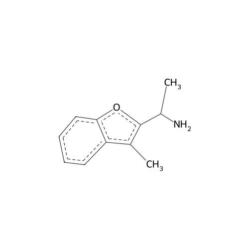 Cc1c(C(C)N)oc2ccccc12